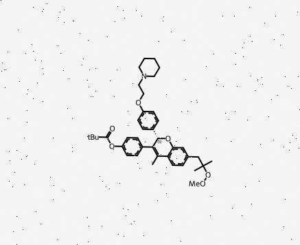 COOC(C)(C)Cc1ccc2c(c1)O[C@@H](c1ccc(OCCN3CCCCC3)cc1)C(c1ccc(OC(=O)C(C)(C)C)cc1)=C2C